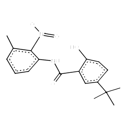 Cc1cccc(NC(=O)c2cc(C(C)(C)C)ccc2O)c1[N+](=O)[O-]